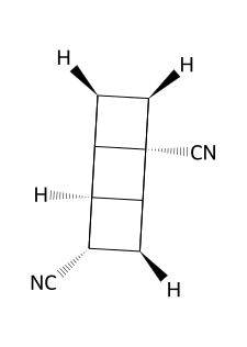 N#C[C@]12C3[C@@H]4C1[C@H]1[C@H]2[C@H]3[C@]41C#N